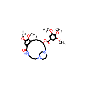 COc1cc2cc(c1OC)CCC[C@@H](OC(=O)c1cc(OC)c(OC)c(OC)c1)CCN1CCCN(CCCNC2=O)CC1